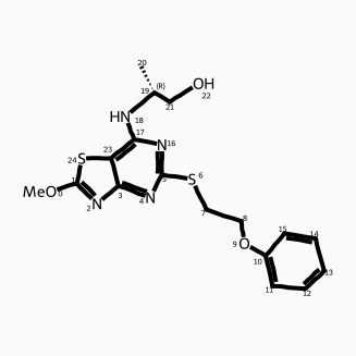 COc1nc2nc(SCCOc3ccccc3)nc(N[C@H](C)CO)c2s1